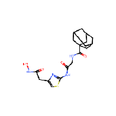 O=C(Cc1csc(NC(=O)CNC(=O)C23CC4CC(CC(C4)C2)C3)n1)NO